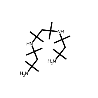 CC(C)(N)CC(C)(C)NC(C)(C)CC(C)(C)NC(C)(C)CC(C)(C)N